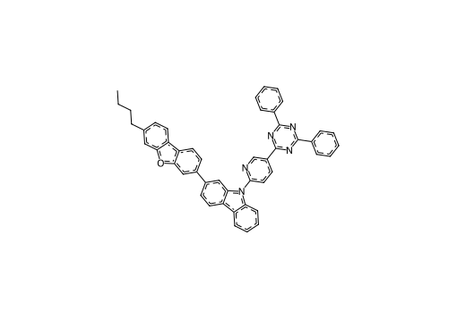 CCCCc1ccc2c(c1)oc1cc(-c3ccc4c5ccccc5n(-c5ccc(-c6nc(-c7ccccc7)nc(-c7ccccc7)n6)cn5)c4c3)ccc12